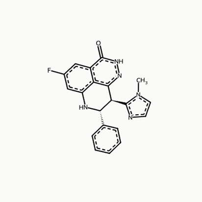 Cn1ccnc1[C@@H]1c2n[nH]c(=O)c3cc(F)cc(c23)N[C@H]1c1ccccc1